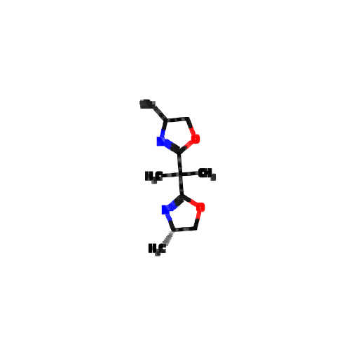 C[C@H]1COC(C(C)(C)C2=NC(C(C)(C)C)CO2)=N1